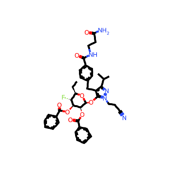 CC[C@H]1O[C@@H](Oc2c(Cc3ccc(C(=O)NCCC(N)=O)cc3)c(C(C)C)nn2CCC#N)[C@H](OC(=O)c2ccccc2)[C@@H](OC(=O)c2ccccc2)[C@@H]1F